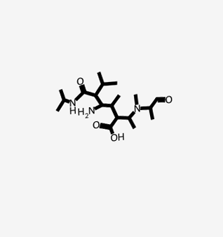 CC(C)NC(=O)C(C(C)C)C(N)C(C)C(C(=O)O)C(C)N(C)C(C)C=O